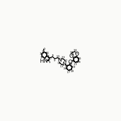 Cc1ccc2[nH]cc(CCCN3CCN(c4ccccc4Oc4cccc5c4OCCO5)CC3)c2c1